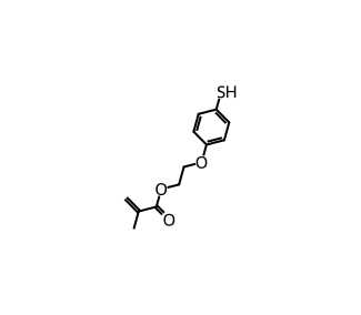 C=C(C)C(=O)OCCOc1ccc(S)cc1